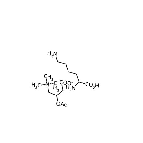 CC(=O)OC(CC(=O)[O-])C[N+](C)(C)C.NCCCC[C@H](N)C(=O)O